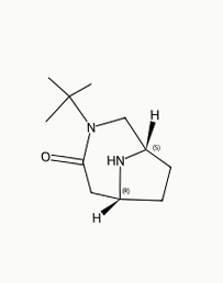 CC(C)(C)N1C[C@@H]2CC[C@H](CC1=O)N2